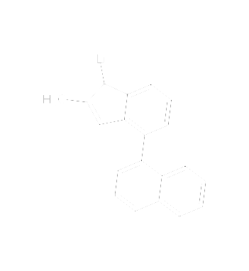 [Li][CH]1C(C)=Cc2c(-c3cccc4ccccc34)cccc21